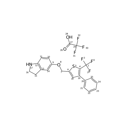 FC(F)(F)c1sc(COc2ccc3c(c2)CCN3)cc1-c1ccccc1.O=C(O)C(F)(F)F